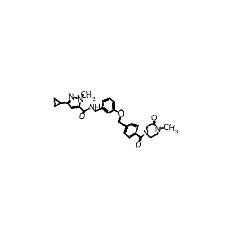 CN1CCN(C(=O)c2ccc(COc3cccc(CNC(=O)c4cc(C5CC5)nn4C)c3)cc2)CC1=O